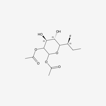 CC[C@H](F)C1OC(OC(C)=O)C(OC(C)=O)[C@@H](O)[C@@H]1O